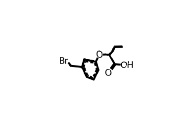 CCC(Oc1cccc(CBr)c1)C(=O)O